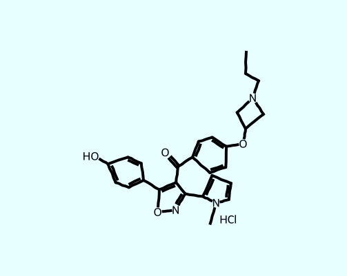 CCCN1CC(Oc2ccc(C(=O)c3c(-c4cccn4C)noc3-c3ccc(O)cc3)cc2)C1.Cl